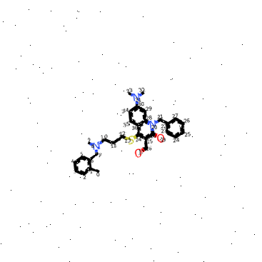 Cc1ccccc1CN(C)CCCSc1c(C=O)c(=O)n(Cc2ccccc2)c2cc(N(C)C)ccc12